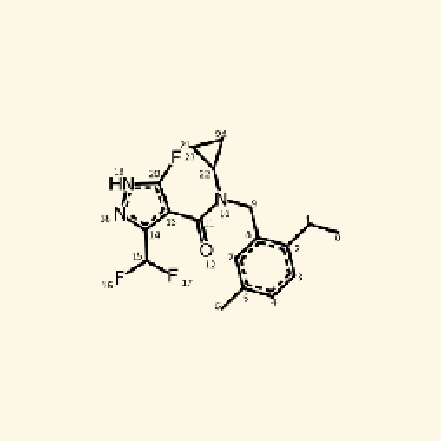 CCc1ccc(C)cc1CN(C(=O)c1c(C(F)F)n[nH]c1F)C1CC1